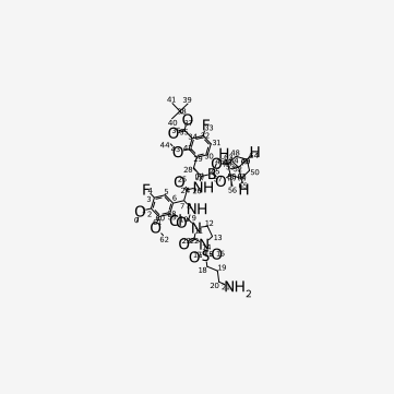 COc1c(F)cc(C(NC(=O)N2CCN(S(=O)(=O)CCCN)C2=O)C(=O)N[C@@H](Cc2ccc(F)c(C(=O)OC(C)(C)C)c2OC)B2O[C@@H]3C[C@@H]4C[C@@H](C4(C)C)[C@]3(C)O2)c(Cl)c1OC